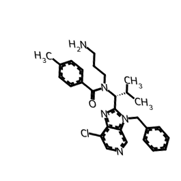 Cc1ccc(C(=O)N(CCCN)[C@@H](c2nc3c(Cl)cncc3n2Cc2ccccc2)C(C)C)cc1